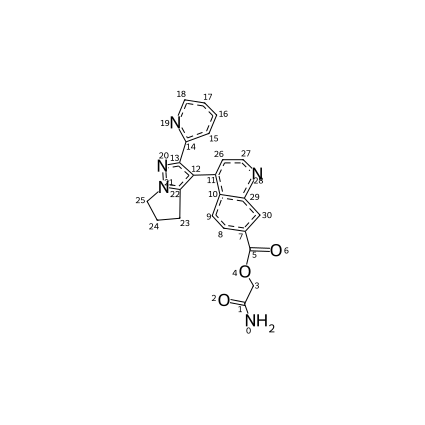 NC(=O)COC(=O)c1ccc2c(-c3c(-c4ccccn4)nn4c3CCC4)ccnc2c1